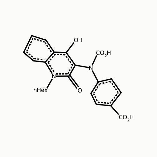 CCCCCCn1c(=O)c(N(C(=O)O)c2ccc(C(=O)O)cc2)c(O)c2ccccc21